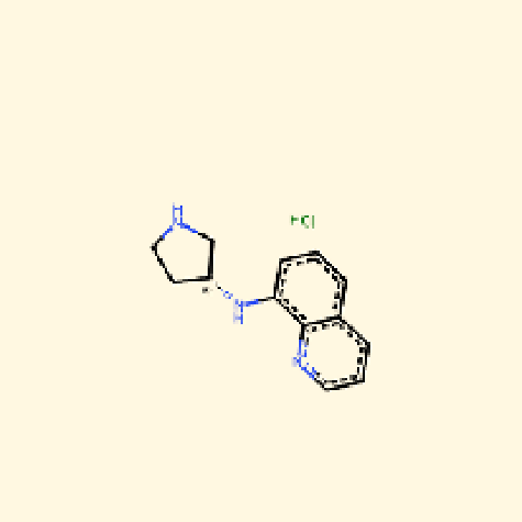 Cl.c1cnc2c(N[C@@H]3CCNC3)cccc2c1